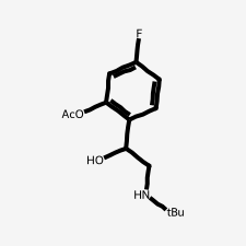 CC(=O)Oc1cc(F)ccc1C(O)CNC(C)(C)C